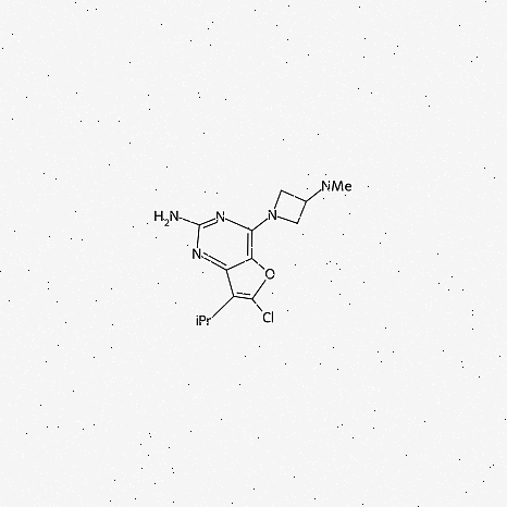 CNC1CN(c2nc(N)nc3c(C(C)C)c(Cl)oc23)C1